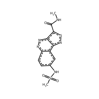 CNC(=O)c1snc2c1nnc1ccc(NS(C)(=O)=O)cc12